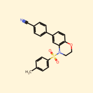 Cc1ccc(S(=O)(=O)N2CCOc3ccc(-c4ccc(C#N)cc4)cc32)cc1